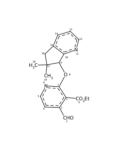 CCOC(=O)c1c(C=O)ccnc1OC1c2ncccc2CC1(C)C